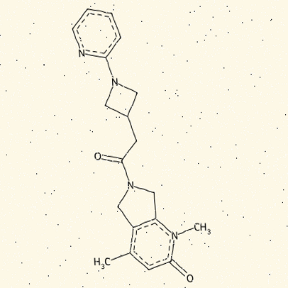 Cc1cc(=O)n(C)c2c1CN(C(=O)CC1CN(c3ccccn3)C1)C2